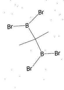 CC(C)(B(Br)Br)B(Br)Br